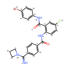 N=C(c1ccc(C(=O)Nc2ccc(F)cc2C(=O)Nc2ccc(Br)cc2)cc1)N1CCC1